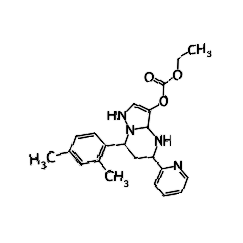 CCOC(=O)OC1=CNN2C1NC(c1ccccn1)CC2c1ccc(C)cc1C